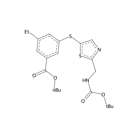 CCCCOC(=O)c1cc(CC)cc(Sc2cnc(CNC(=O)OC(C)(C)C)s2)c1